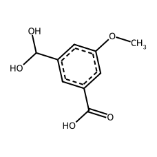 COc1cc(C(=O)O)cc(C(O)O)c1